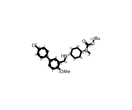 COc1ccc(-c2ccc(Cl)cc2)cc1CN[C@H]1CC[C@H](N(C)C(=O)OC(C)(C)C)CC1